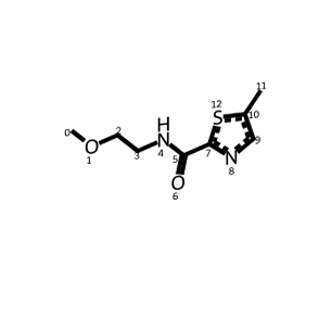 COCCNC(=O)c1ncc(C)s1